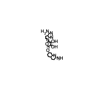 CNc1ccc2ccc(OC[C@@]3(C)O[C@@H](n4ccc5c(N)ncnc54)[C@H](O)[C@@H]3O)cc2n1